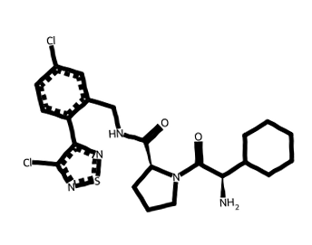 N[C@@H](C(=O)N1CCC[C@H]1C(=O)NCc1cc(Cl)ccc1-c1nsnc1Cl)C1CCCCC1